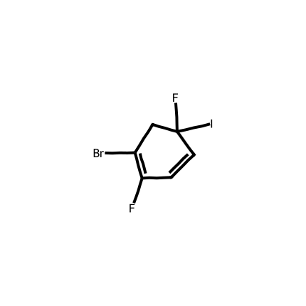 FC1=C(Br)CC(F)(I)C=C1